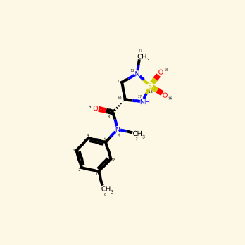 Cc1cccc(N(C)C(=O)[C@@H]2CN(C)S(=O)(=O)N2)c1